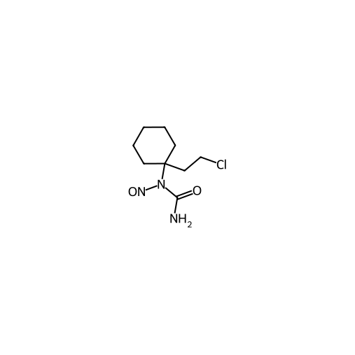 NC(=O)N(N=O)C1(CCCl)CCCCC1